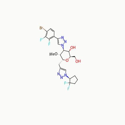 CO[C@@H]1[C@@H](n2cc(-c3ccc(Br)c(F)c3F)nn2)[C@@H](O)[C@@H](CO)O[C@@H]1Cc1cn([C@H]2CCCC2(F)F)nn1